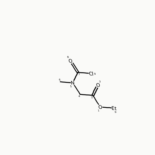 CCOC(=O)CN(C)C(=O)Cl